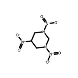 O=[N+]([O-])C1CN([N+](=O)[O-])CN([N+](=O)[O-])C1